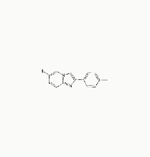 Cc1ccc(-c2cn3cc(I)ccc3n2)cc1